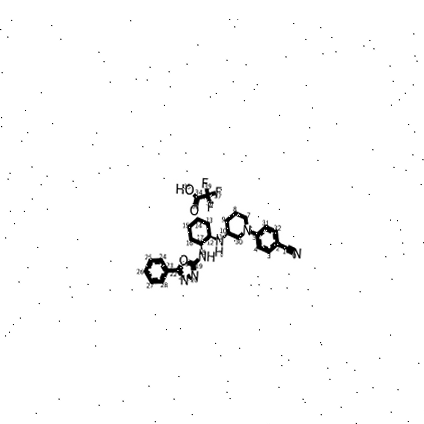 N#Cc1ccc(N2CCC[C@H](N[C@@H]3CCCC[C@H]3Nc3nnc(-c4ccccc4)o3)C2)cc1.O=C(O)C(F)(F)F